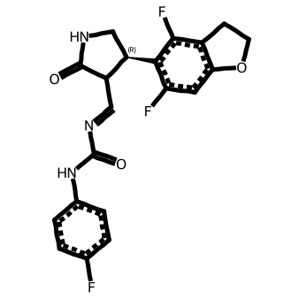 O=C(N=CC1C(=O)NC[C@H]1c1c(F)cc2c(c1F)CCO2)Nc1ccc(F)cc1